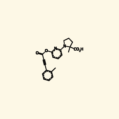 Cc1ccccc1C#CC(=O)Oc1cccc(N2CCCC2(C)C(=O)O)n1